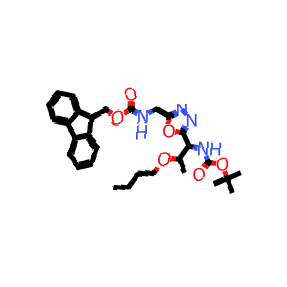 CCCCOC(C)C(NC(=O)OC(C)(C)C)c1nnc(CNC(=O)OCC2c3ccccc3-c3ccccc32)o1